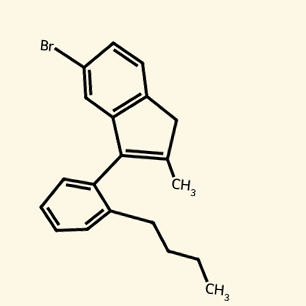 CCCCc1ccccc1C1=C(C)Cc2ccc(Br)cc21